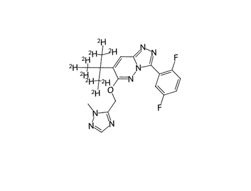 [2H]C([2H])([2H])C(c1cc2nnc(-c3cc(F)ccc3F)n2nc1OCc1ncnn1C)(C([2H])([2H])[2H])C([2H])([2H])[2H]